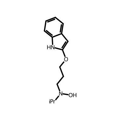 CC(C)N(O)CCCOc1cc2ccccc2[nH]1